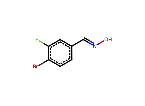 O/N=C/c1ccc(Br)c(F)c1